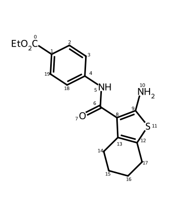 CCOC(=O)c1ccc(NC(=O)c2c(N)sc3c2CCCC3)cc1